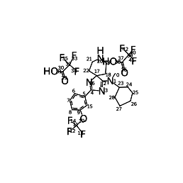 CN(C1=NC(c2cccc(OC(F)(F)F)c2)=NC12CCNCC2)C1CCCCC1.O=C(O)C(F)(F)F.O=C(O)C(F)(F)F